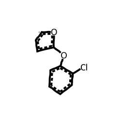 Clc1ccccc1Oc1cc[c]o1